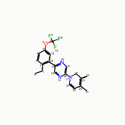 CCc1ccc(OC(F)(F)F)cc1-c1cnc(N2C=CC(C)=C(C)C2)cn1